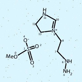 COS(=O)(=O)[O-].NNCC[N+]1=CNCC1